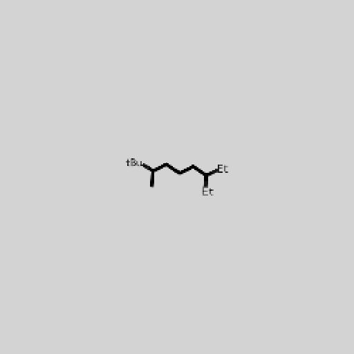 [CH2]C(C)(C)C(C)CCCC(CC)CC